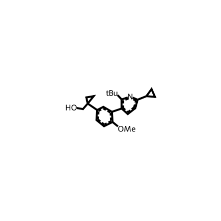 COc1ccc(C2(CO)CC2)cc1-c1ccc(C2CC2)nc1C(C)(C)C